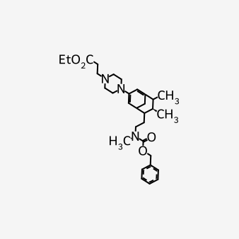 CCOC(=O)CCN1CCN(C2=CC3CC(=C2)C(C)[C@@H](C)C3CCN(C)C(=O)OCc2ccccc2)CC1